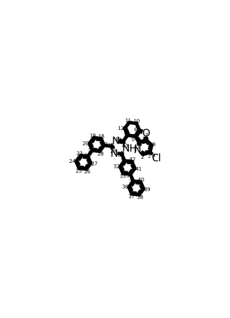 Clc1cnc2c3c(oc2c1)CCC=C3C1=NC(c2cccc(-c3ccccc3)c2)=NC(c2ccc(-c3ccccc3)cc2)N1